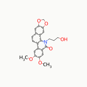 COc1cc2c(=O)n(CCCO)c3c4cc5c(cc4ccc3c2cc1OC)OCO5